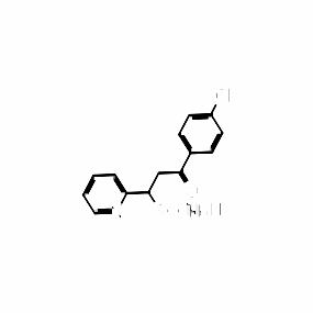 O=C(CC(c1ccccn1)S(=O)(=O)O)c1ccc(Cl)cc1.[NaH]